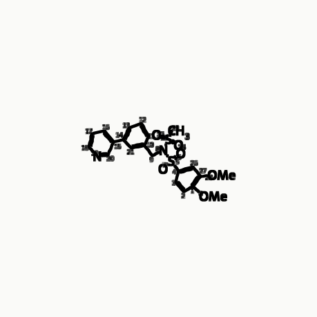 COc1ccc(S(=O)(=O)N(Cc2cccc(-c3cccnc3)c2)S(C)(=O)=O)cc1OC